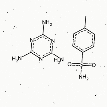 Cc1ccc(S(N)(=O)=O)cc1.Nc1nc(N)nc(N)n1